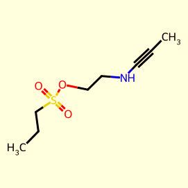 CC#CNCCOS(=O)(=O)CCC